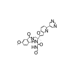 COc1ccc2c(c1)C(=O)N(C[C@](C)(NC(=O)NC=O)c1cc3nc(-c4cncnc4)ccc3o1)C2